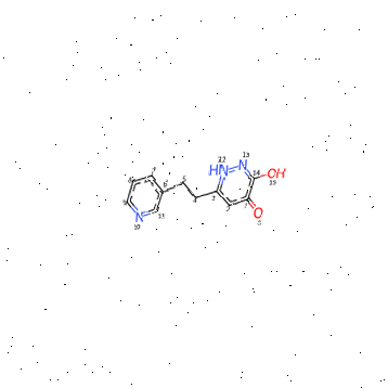 O=c1cc(CCc2cccnc2)[nH]nc1O